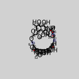 CO[C@H]1/C=C\O[C@@]2(C)Oc3c(C)c(O)c4c(O)c(c(N5CCOCC5)c(O)c4c3C2=O)NC(=O)/C(C)=C\C=C/[C@H](C)[C@H](O)[C@@H](C)[C@@H](O)[C@@H](C)[C@H](OC(C)=O)[C@@H]1C